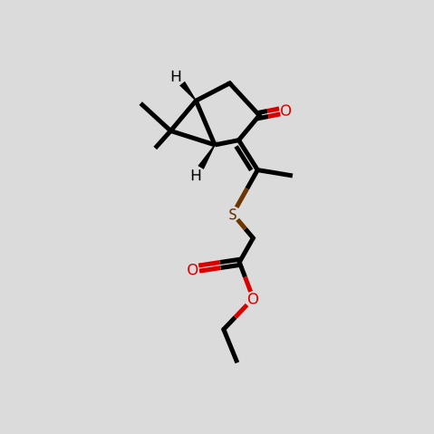 CCOC(=O)CSC(C)=C1C(=O)C[C@@H]2[C@H]1C2(C)C